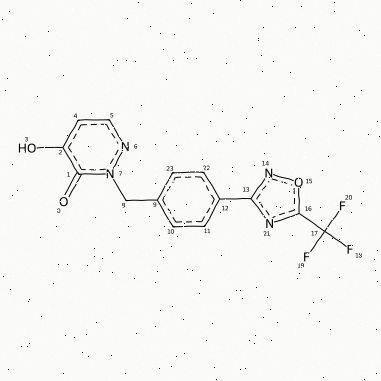 O=c1c(O)ccnn1Cc1ccc(-c2noc(C(F)(F)F)n2)cc1